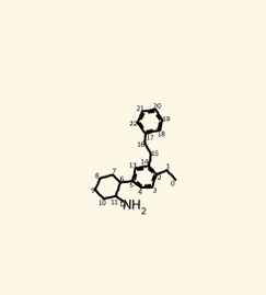 CCc1ccc(C2CCCCC2N)cc1CCc1ccccc1